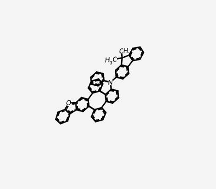 CC1(C)c2ccccc2-c2ccc(N(c3ccccc3)c3cccc4c3-c3ccccc3-c3cc5oc6ccccc6c5cc3-c3ccccc3-4)cc21